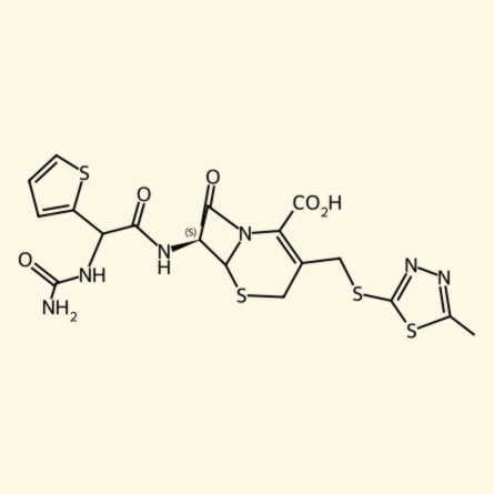 Cc1nnc(SCC2=C(C(=O)O)N3C(=O)[C@H](NC(=O)C(NC(N)=O)c4cccs4)C3SC2)s1